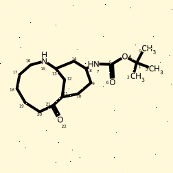 CC(C)(C)OC(=O)NC1CCC2CC(C1)NCCCCCC2=O